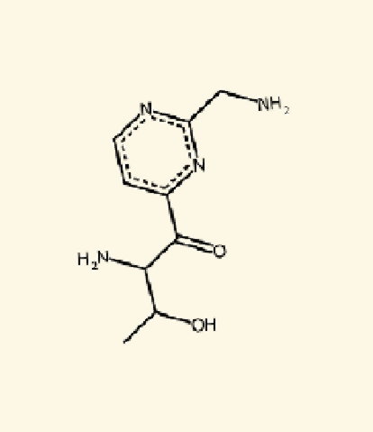 CC(O)C(N)C(=O)c1ccnc(CN)n1